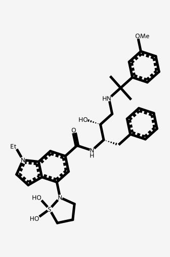 CCn1ccc2c(N3CCCS3(O)O)cc(C(=O)N[C@@H](Cc3ccccc3)[C@H](O)CNC(C)(C)c3cccc(OC)c3)cc21